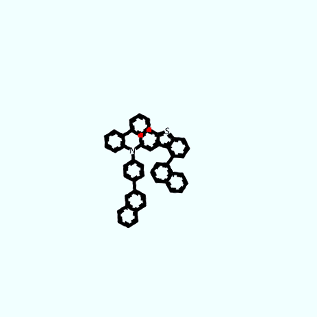 c1ccc(-c2ccccc2N(c2ccc(-c3ccc4ccccc4c3)cc2)c2ccc3sc4cccc(-c5cccc6ccccc56)c4c3c2)cc1